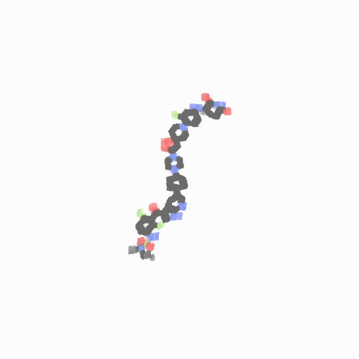 CCN(C)S(=O)(=O)Nc1ccc(F)c(C(=O)c2c[nH]c3ncc(-c4ccc(N5CCN(C(=O)CC6(O)CCN(c7ccc(N[C@H]8CCC(=O)NC8=O)cc7F)CC6)CC5)cc4)cc23)c1F